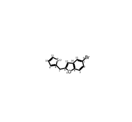 Brc1ccc2oc(Cc3cccs3)cc2c1